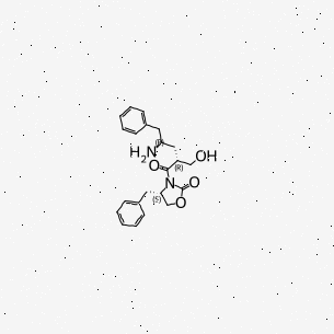 N[C@@H](Cc1ccccc1)C[C@H](CO)C(=O)N1C(=O)OC[C@@H]1Cc1ccccc1